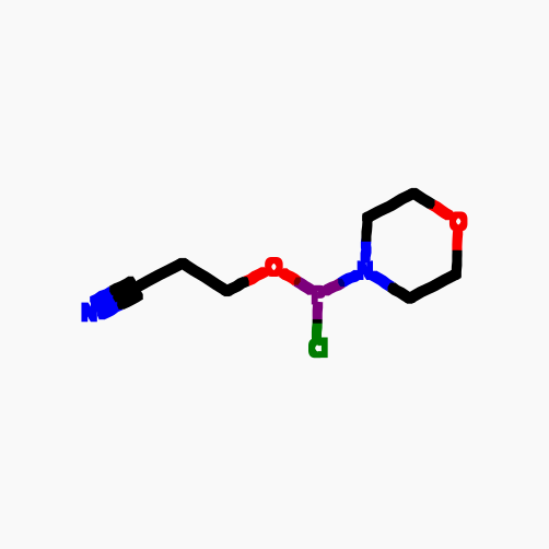 N#CCCOP(Cl)N1CCOCC1